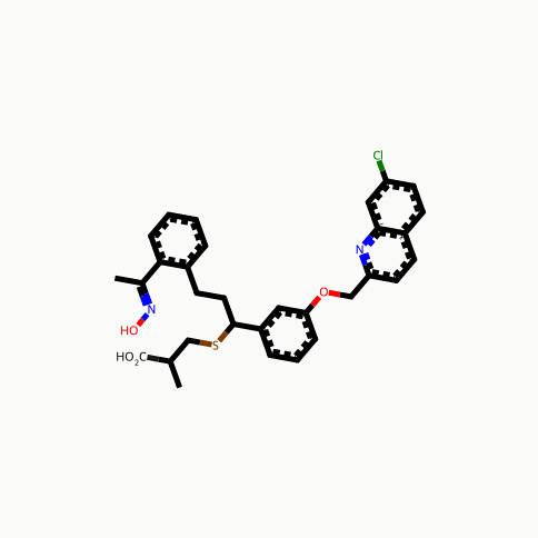 CC(=NO)c1ccccc1CCC(SCC(C)C(=O)O)c1cccc(OCc2ccc3ccc(Cl)cc3n2)c1